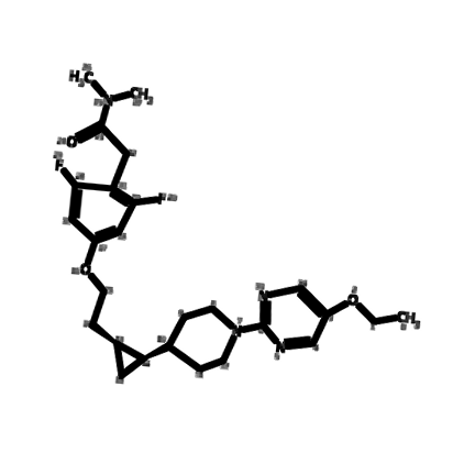 CCOc1cnc(N2CCC([C@H]3C[C@H]3CCOc3cc(F)c(CC(=O)N(C)C)c(F)c3)CC2)nc1